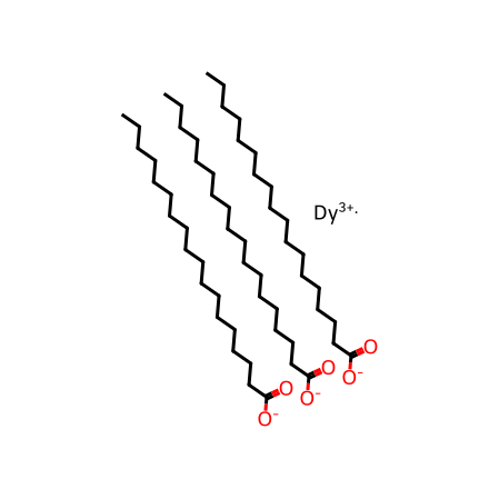 CCCCCCCCCCCCCCCCCC(=O)[O-].CCCCCCCCCCCCCCCCCC(=O)[O-].CCCCCCCCCCCCCCCCCC(=O)[O-].[Dy+3]